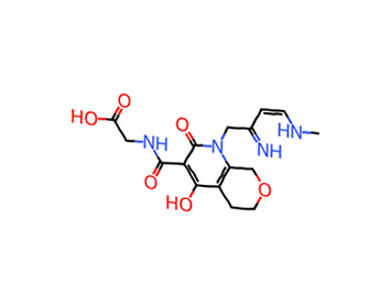 CN/C=C\C(=N)Cn1c2c(c(O)c(C(=O)NCC(=O)O)c1=O)CCOC2